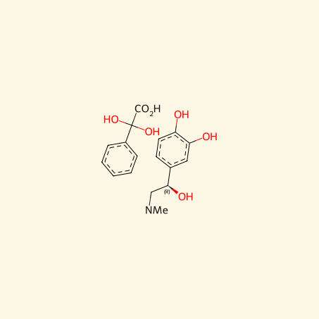 CNC[C@H](O)c1ccc(O)c(O)c1.O=C(O)C(O)(O)c1ccccc1